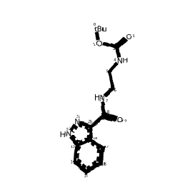 CC(C)(C)OC(=O)NCCNC(=O)c1n[nH]c2ccccc12